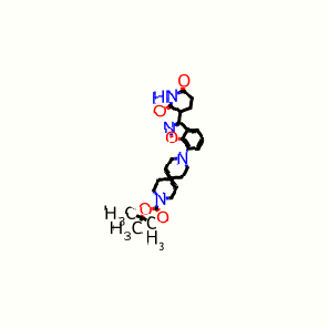 CC(C)(C)OC(=O)N1CCC2(CC1)CCN(c1cccc3c(C4CCC(=O)NC4=O)noc13)CC2